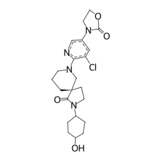 O=C1OCCN1c1cnc(N2CCC[C@]3(CCN(C4CCC(O)CC4)C3=O)C2)c(Cl)c1